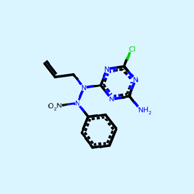 C=CCN(c1nc(N)nc(Cl)n1)N(c1ccccc1)[N+](=O)[O-]